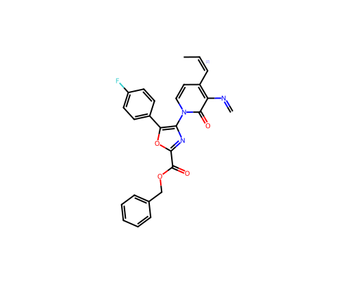 C=Nc1c(/C=C\C)ccn(-c2nc(C(=O)OCc3ccccc3)oc2-c2ccc(F)cc2)c1=O